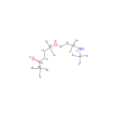 CC(C)(I)NC(C)(C)CCOC(C)(C)CCC(=O)C(C)(C)C